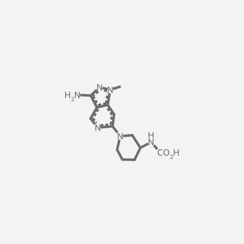 Cn1nc(N)c2cnc(N3CCCC(NC(=O)O)C3)cc21